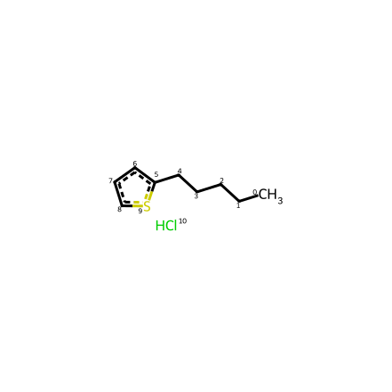 CCCCCc1cccs1.Cl